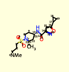 CNCCCS(=O)(=O)N1CC[C@H](NC(=O)c2cc(C3CC3)on2)C[C@@H]1C